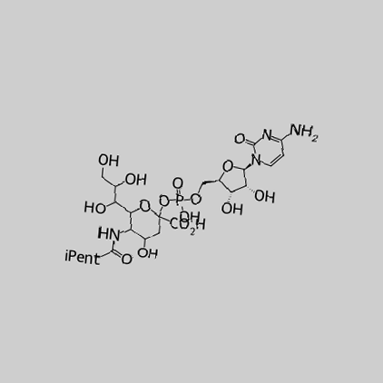 CCCC(C)C(=O)NC1C(O)CC(OP(=O)(O)OC[C@H]2O[C@@H](n3ccc(N)nc3=O)[C@H](O)[C@@H]2O)(C(=O)O)OC1C(O)C(O)CO